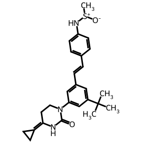 C[S+]([O-])Nc1ccc(/C=C/c2cc(N3CCC(=C4CC4)NC3=O)cc(C(C)(C)C)c2)cc1